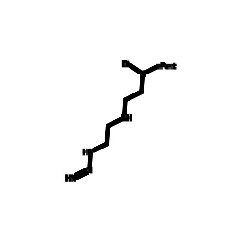 CCCCCN(CC)CCNCCNN=N